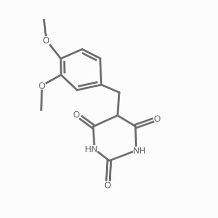 COc1ccc(CC2C(=O)NC(=O)NC2=O)cc1OC